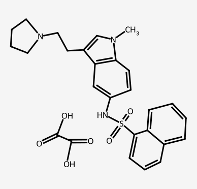 Cn1cc(CCN2CCCC2)c2cc(NS(=O)(=O)c3cccc4ccccc34)ccc21.O=C(O)C(=O)O